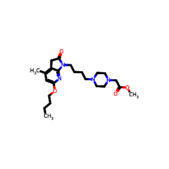 CCCCOc1cc(C)c2c(n1)N(CCCCN1CCN(CC(=O)OC)CC1)C(=O)C2